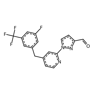 O=Cc1ccn(-c2cc(Cc3cc(F)cc(C(F)(F)F)c3)ccn2)n1